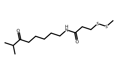 CSSCCC(=O)NCCCCCC(=O)C(C)C